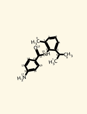 Cc1cccc(C(C)C)c1NC(=O)c1ccc(N)cc1